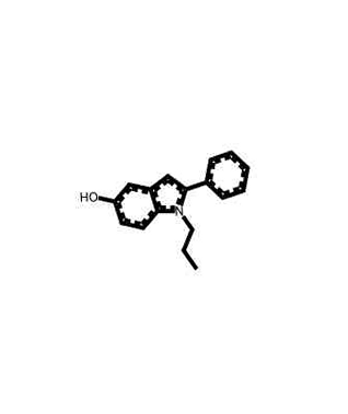 CCCn1c(-c2ccccc2)cc2cc(O)ccc21